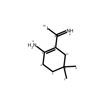 CC1(C)CCC(N)=C(C(=N)I)C1